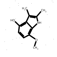 COc1ccc(O)c2c(C)c(C)[nH]c12